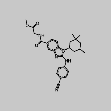 COC(=O)CNC(=O)c1ccc2c(c1)nc(Nc1ccc(C#N)cc1)n2[C@@H]1C[C@H](C)CC(C)(C)C1